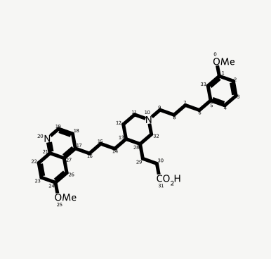 COc1cccc(CCCCN2CCC(CCCc3ccnc4ccc(OC)cc34)C(CCC(=O)O)C2)c1